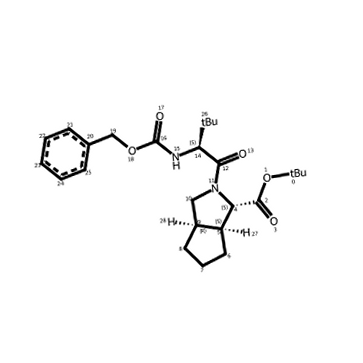 CC(C)(C)OC(=O)[C@@H]1[C@H]2CCC[C@H]2CN1C(=O)[C@@H](NC(=O)OCc1ccccc1)C(C)(C)C